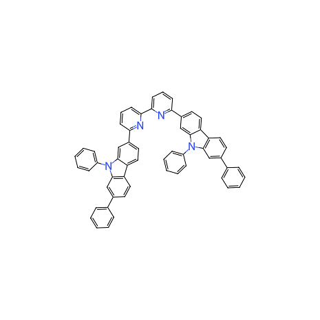 c1ccc(-c2ccc3c4ccc(-c5cccc(-c6cccc(-c7ccc8c9ccc(-c%10ccccc%10)cc9n(-c9ccccc9)c8c7)n6)n5)cc4n(-c4ccccc4)c3c2)cc1